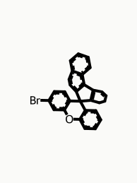 Brc1ccc2c(c1)Oc1ccccc1C21C2=C(C=CCC2)c2c1ccc1ccccc21